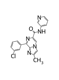 Cc1cn2cc(C(=O)Nc3cccnc3)nc(-c3cccc(Cl)c3)c2n1